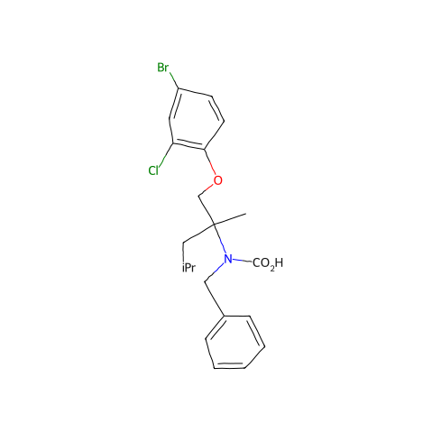 CC(C)CC(C)(COc1ccc(Br)cc1Cl)N(Cc1ccccc1)C(=O)O